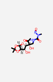 CC(=O)[C@@](O)(CNC(=O)N(C)N=O)[C@H]1O[C@@H]2OC(C)(C)O[C@@H]2[C@H]1O